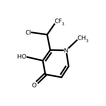 Cn1ccc(=O)c(O)c1C(Cl)C(F)(F)F